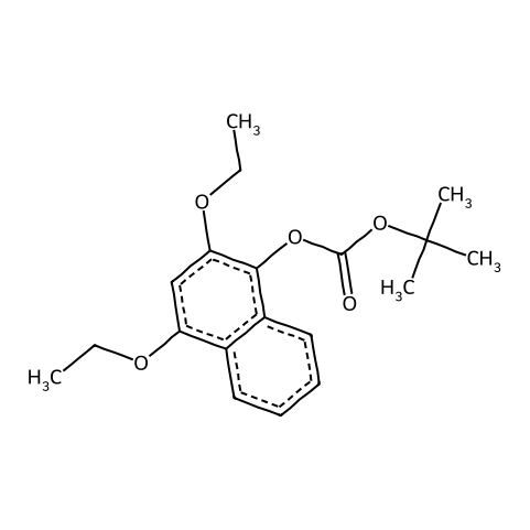 CCOc1cc(OCC)c2ccccc2c1OC(=O)OC(C)(C)C